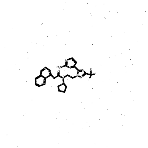 Nc1nccc(-c2nc(C(F)(F)F)nn2CCN(C(=O)Cc2cccc3ccccc23)C2CCCC2)n1